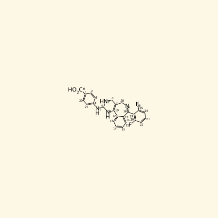 O=C(O)c1ccc(NC2NCC3=C(N2)c2ccccc2C(c2c(F)cccc2F)=NC3)cc1